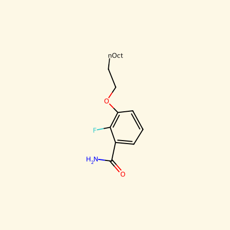 CCCCCCCCCCOc1cccc(C(N)=O)c1F